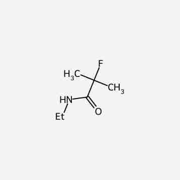 CCNC(=O)C(C)(C)F